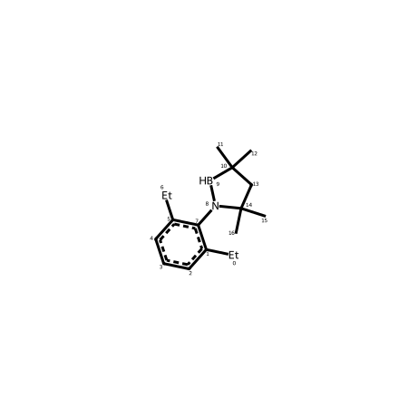 CCc1cccc(CC)c1N1BC(C)(C)CC1(C)C